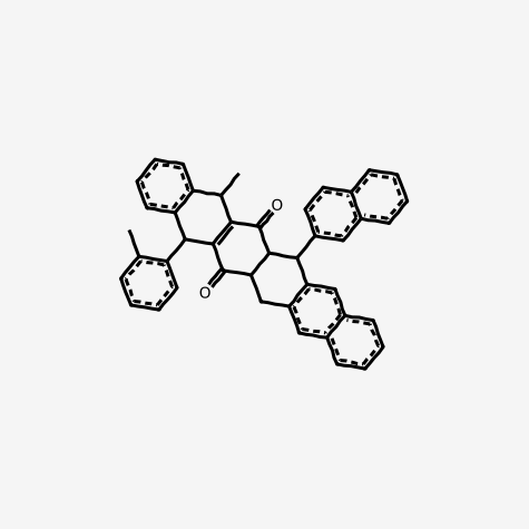 Cc1ccccc1C1C2=C(C(=O)C3C(Cc4cc5ccccc5cc4C3c3ccc4ccccc4c3)C2=O)C(C)c2ccccc21